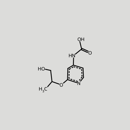 CC(CO)Oc1cc(NC(=O)O)ccn1